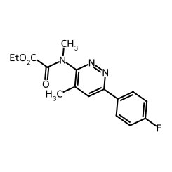 CCOC(=O)C(=O)N(C)c1nnc(-c2ccc(F)cc2)cc1C